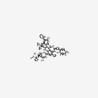 C=CC(=O)N1[C@H](C)CN(c2nc(=O)n3c4c(c(-c5cc(Cl)cs5)c(C(F)(F)F)cc24)SC[C@@H](Oc2cnccn2)C3)C[C@@H]1C